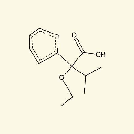 CCOC(C(=O)O)(c1ccccc1)C(C)C